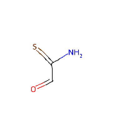 NC(=S)C=O